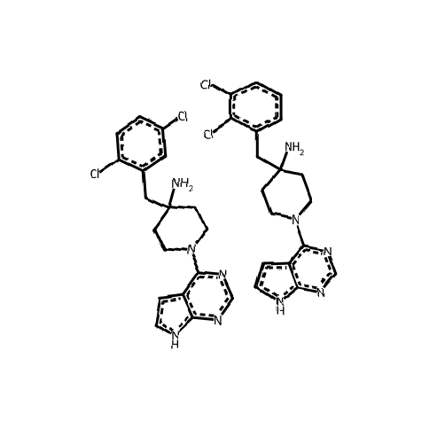 NC1(Cc2cc(Cl)ccc2Cl)CCN(c2ncnc3[nH]ccc23)CC1.NC1(Cc2cccc(Cl)c2Cl)CCN(c2ncnc3[nH]ccc23)CC1